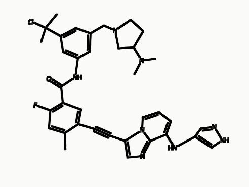 Cc1cc(F)c(C(=O)Nc2cc(CN3CCC(N(C)C)C3)cc(C(C)(C)Cl)c2)cc1C#Cc1cnc2c(Nc3cn[nH]c3)cccn12